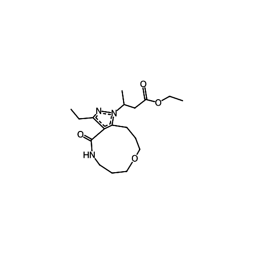 CCOC(=O)CC(C)n1nc(CC)c2c1CCCOCCCNC2=O